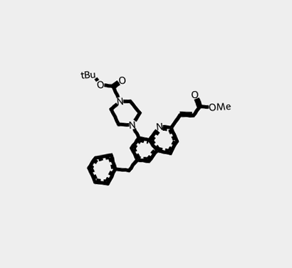 COC(=O)C=Cc1ccc2cc(Cc3ccccc3)cc(N3CCN(C(=O)OC(C)(C)C)CC3)c2n1